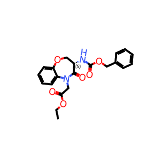 CCOC(=O)CN1C(=O)[C@@H](NC(=O)OCc2ccccc2)COc2ccccc21